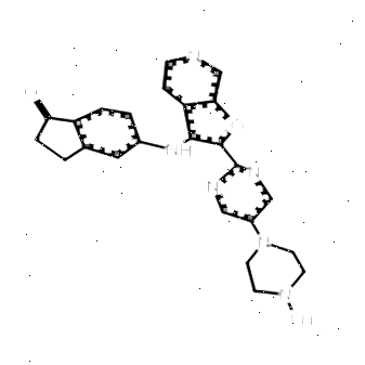 CN1CCN(c2cnc(-c3oc4cnccc4c3Nc3ccc4c(c3)CCC4=O)nc2)CC1